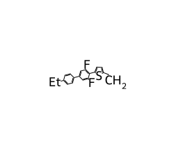 C=Cc1ccc(-c2c(F)cc(-c3ccc(CC)cc3)cc2F)s1